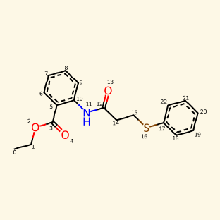 CCOC(=O)c1ccccc1NC(=O)CCSc1ccccc1